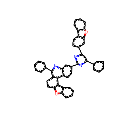 c1ccc(-c2cc(-c3ccc4c(c3)oc3ccccc34)nc(-c3ccc4c(c3)nc(-c3ccccc3)c3ccc5oc6ccccc6c5c34)n2)cc1